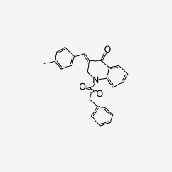 Cc1ccc(/C=C2\CN(S(=O)(=O)Cc3ccccc3)c3ccccc3C2=O)cc1